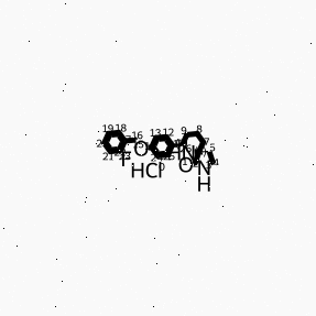 Cl.O=C1NCC[C@]12CCC[C@H](c1ccc(OCc3ccccc3F)cc1)N2